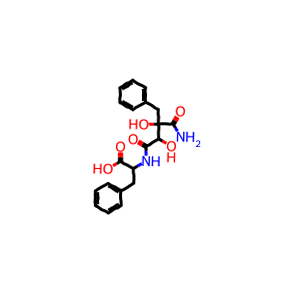 NC(=O)C(O)(Cc1ccccc1)C(O)C(=O)NC(Cc1ccccc1)C(=O)O